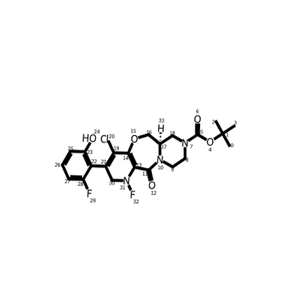 CC(C)(C)OC(=O)N1CCN2C(=O)C3=C(OC[C@H]2C1)C(Cl)=C(c1c(O)cccc1F)CN3F